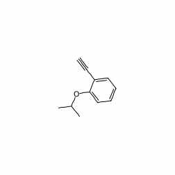 C#Cc1ccccc1OC(C)C